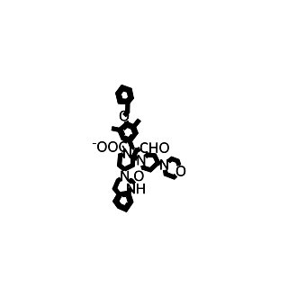 Cc1cc(C[N@+]2(C(=O)[O-])CCC(N3CCc4ccccc4NC3=O)CC2(CC=O)N2CCC(N3CCOCC3)CC2)cc(C)c1OCc1ccccc1